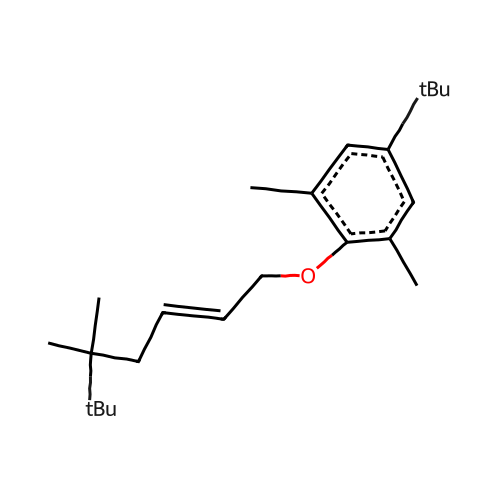 Cc1cc(C(C)(C)C)cc(C)c1OC/C=C/CC(C)(C)C(C)(C)C